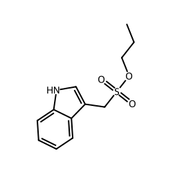 CCCOS(=O)(=O)Cc1c[nH]c2ccccc12